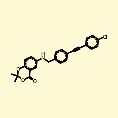 CC1(C)OC(=O)c2cc(NCc3ccc(C#Cc4ccc(Cl)cc4)cc3)ccc2O1